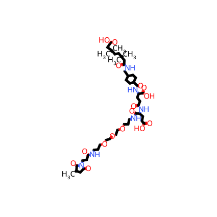 CC1CC(=O)N(CCC(=O)NCCCOCCOCCOCCCNC(=O)C(CCC(=O)O)NC(=O)CCC(NC(=O)C2CCC(CNC(=O)CC(C)(C)CCC(C)(C)CC(=O)O)CC2)C(=O)O)C1=O